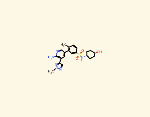 Cc1ccc(S(=O)(=O)N[C@H]2CC[C@H](O)CC2)cc1-c1cnc(N)c(-c2cnn(C)n2)c1